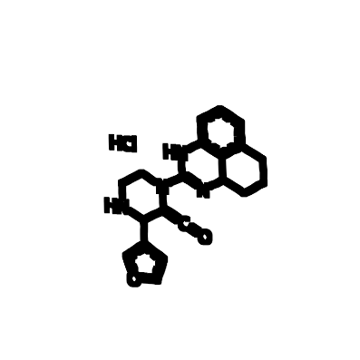 Cl.O=C=C1C(c2ccoc2)NCCN1C1=NC2CCCc3cccc(c32)N1